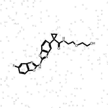 O=C(NCCOCCO)C1(c2ccc3oc(Nc4nc5cc(F)ccc5o4)nc3c2)CC1